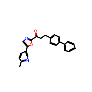 Cc1ccc(-c2cnc(C(=O)CCc3ccc(-c4ccccc4)cc3)o2)cn1